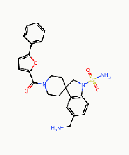 NCc1ccc2c(c1)C1(CCN(C(=O)c3ccc(-c4ccccc4)o3)CC1)CN2S(N)(=O)=O